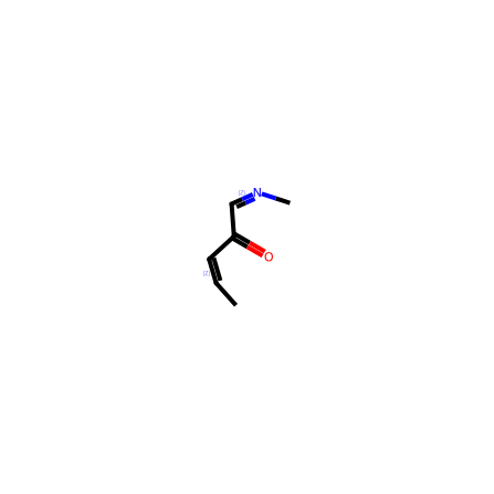 C/C=C\C(=O)/C=N\C